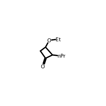 CCCC1C(=O)CC1OCC